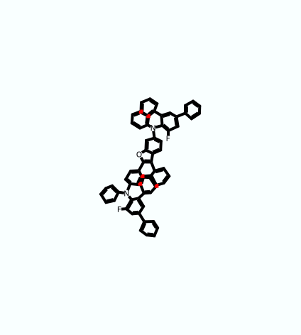 Fc1cc(-c2ccccc2)cc(-c2ccccc2)c1N(c1ccccc1)c1ccc2c(c1)oc1c3ccc(N(c4ccccc4)c4c(F)cc(-c5ccccc5)cc4-c4ccccc4)cc3c3ccccc3c21